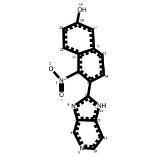 O=[N+]([O-])c1c(-c2nc3cnccc3[nH]2)ccc2cc(O)ccc12